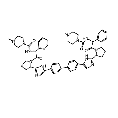 CN1CCN(C(=O)NC(C(=O)N2CCCC2c2ncc(-c3ccc(-c4ccc(-c5cnc(C6CCCN6C(=O)C(NC(=O)N6CCN(C)CC6)c6ccccc6)[nH]5)cc4)cc3)[nH]2)c2ccccc2)CC1